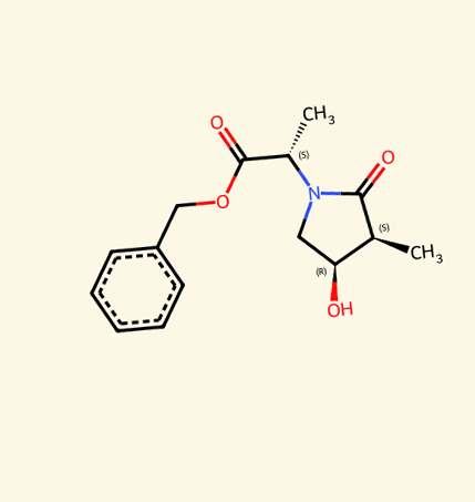 C[C@@H]1C(=O)N([C@@H](C)C(=O)OCc2ccccc2)C[C@@H]1O